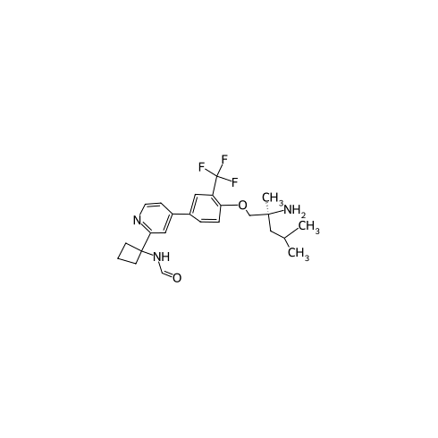 CC(C)C[C@](C)(N)COc1ccc(-c2ccnc(C3(NC=O)CCC3)c2)cc1C(F)(F)F